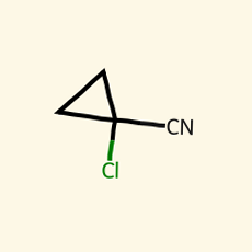 N#CC1(Cl)CC1